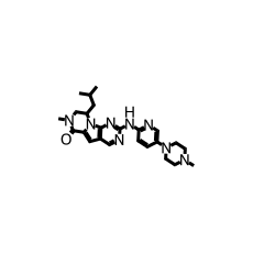 CC(C)CC1CN(C)C(=O)c2cc3cnc(Nc4ccc(N5CCN(C)CC5)cn4)nc3n21